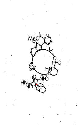 CCn1c(-c2cccnc2[C@H](C)OC)c2c3cc(ccc31)-c1csc(n1)C[C@H](NC(=O)C(C(C)C)N1C3CCC1CN(C(=O)[C@H]1CN1)C3)C(=O)N1CCC[C@H](N1)C(=O)OCC(C)(C)C2